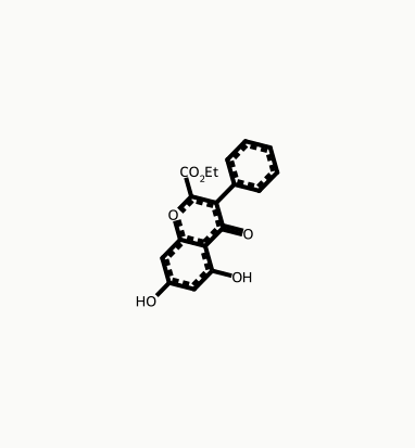 CCOC(=O)c1oc2cc(O)cc(O)c2c(=O)c1-c1ccccc1